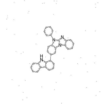 c1ccc(-n2c3ccc(-c4cccc5c4[nH]c4ccccc45)cc3n3c4ccccc4nc23)cc1